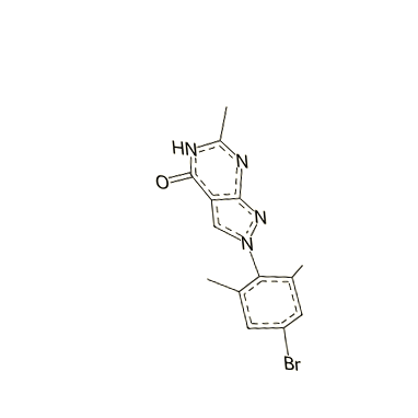 Cc1nc2nn(-c3c(C)cc(Br)cc3C)cc2c(=O)[nH]1